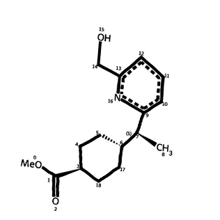 COC(=O)[C@H]1CC[C@H]([C@H](C)c2cccc(CO)n2)CC1